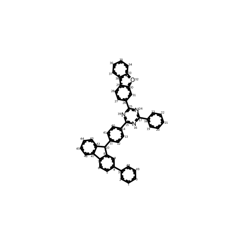 c1ccc(-c2ccc3c(c2)C(c2ccc(-c4nc(-c5ccccc5)nc(-c5ccc6c(c5)oc5ccccc56)n4)cc2)c2ccccc2-3)cc1